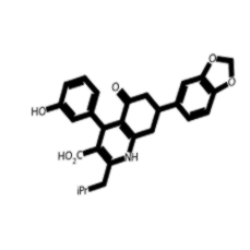 CC(C)CC1=C(C(=O)O)C(c2cccc(O)c2)C2=C(CC(c3ccc4c(c3)OCO4)CC2=O)N1